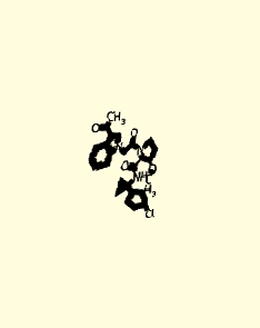 CO[C@@H]1CCN(C(=O)Cn2cc(C(C)=O)c3ccccc32)[C@@H]1C(=O)NC1(c2ccc(Cl)cc2)CC1